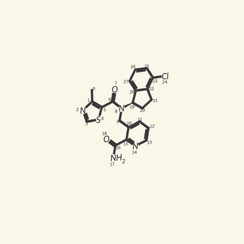 Cc1ncsc1C(=O)N(Cc1cccnc1C(N)=O)[C@@H]1CCc2c(Cl)cccc21